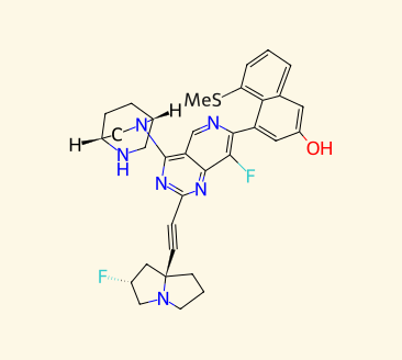 CSc1cccc2cc(O)cc(-c3ncc4c(N5C[C@H]6CC[C@@H]5CN6)nc(C#C[C@@]56CCCN5C[C@H](F)C6)nc4c3F)c12